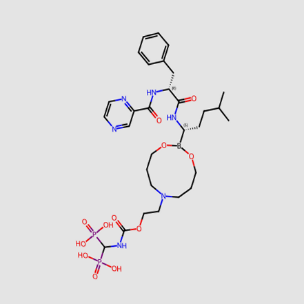 CC(C)CC[C@@H](NC(=O)[C@@H](Cc1ccccc1)NC(=O)c1cnccn1)B1OCCCN(CCOC(=O)NC(P(=O)(O)O)P(=O)(O)O)CCCO1